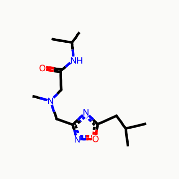 CC(C)Cc1nc(CN(C)CC(=O)NC(C)C)no1